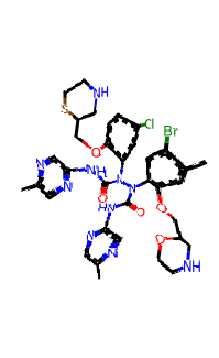 Cc1cnc(NC(=O)N(c2cc(Br)c(C)cc2OCC2CNCCO2)N(C(=O)Nc2cnc(C)cn2)c2cc(Cl)ccc2OCC2CNCCS2)cn1